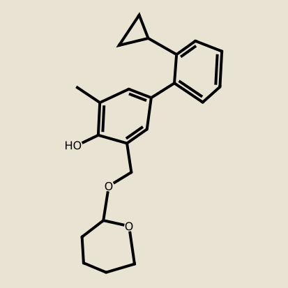 Cc1cc(-c2ccccc2C2CC2)cc(COC2CCCCO2)c1O